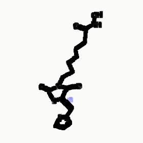 O=C(CCCCCCN1C(=O)S/C(=C\c2cccs2)C1=O)NO